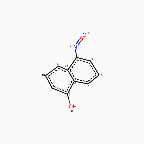 O=Nc1cccc2c(O)cccc12